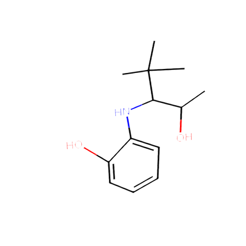 CC(O)C(Nc1ccccc1O)C(C)(C)C